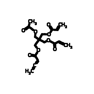 C=C=CC(=O)OCC(COC(C)=O)(COC(=O)C=C)COC(=O)C=C